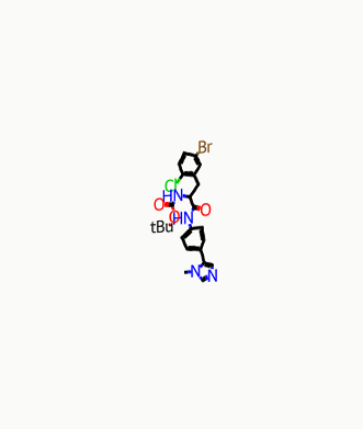 Cn1cncc1-c1ccc(NC(=O)C(Cc2cc(Br)ccc2Cl)NC(=O)OC(C)(C)C)cc1